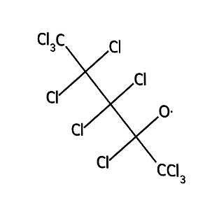 [O]C(Cl)(C(Cl)(Cl)Cl)C(Cl)(Cl)C(Cl)(Cl)C(Cl)(Cl)Cl